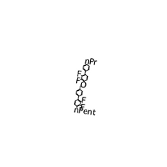 CCCCCc1ccc(-c2ccc(COc3ccc(-c4ccc(CCC)cc4)c(F)c3F)cc2)c(F)c1F